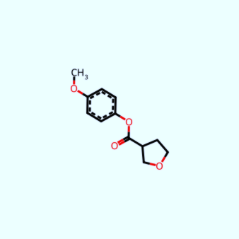 COc1ccc(OC(=O)C2CCOC2)cc1